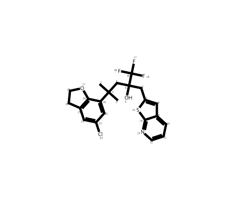 CC(C)(CC(O)(Cc1cc2cccnc2s1)C(F)(F)F)c1cc(Cl)cc2c1OCC2